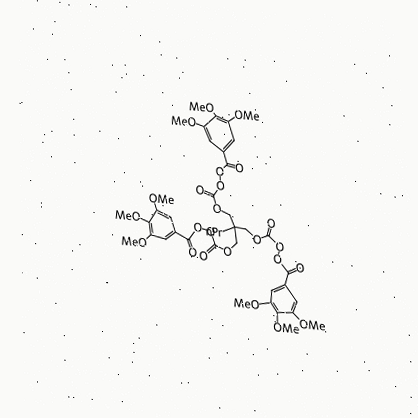 CCCC(COC(=O)OOC(=O)c1cc(OC)c(OC)c(OC)c1)(COC(=O)OOC(=O)c1cc(OC)c(OC)c(OC)c1)COC(=O)OOC(=O)c1cc(OC)c(OC)c(OC)c1